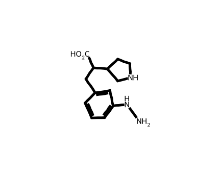 NNc1cccc(CC(C(=O)O)C2CCNC2)c1